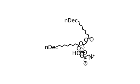 CCCCCCCCCCCCCCCCCC(=O)OCC(COP(=O)(O)OC(=C=O)C[N+](C)(C)C)OC(=O)CCCCCCCCCCCCCCCCC